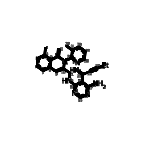 C=C1c2c(C)cccc2C=C(CNc2ncnc(N)c2C(=N)C#CCC)N1c1ncccc1C